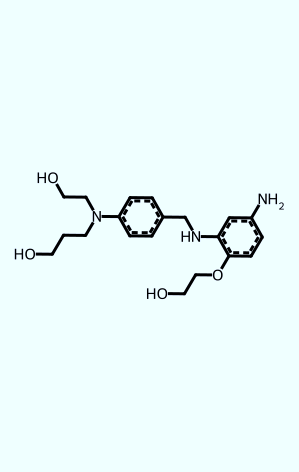 Nc1ccc(OCCO)c(NCc2ccc(N(CCO)CCCO)cc2)c1